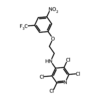 O=[N+]([O-])c1cc(OCCNc2c(Cl)c(Cl)nc(Cl)c2Cl)cc(C(F)(F)F)c1